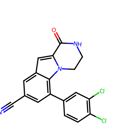 N#Cc1cc(-c2ccc(Cl)c(Cl)c2)c2c(c1)cc1n2CCNC1=O